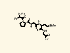 CNC(C(=O)N1CCC[C@H]1C(=O)NCC(=O)NC(CCSC)C(=O)NCC(=O)C(C)C)C(C)C